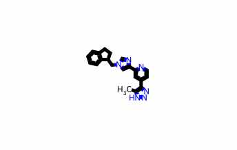 Cc1[nH]nnc1-c1ccnc(-c2cn(CC3CCc4ccccc43)cn2)c1